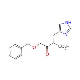 O=C(O)C(Cc1c[nH]cn1)C(=O)COCc1ccccc1